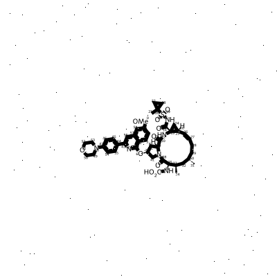 COc1ccc2c(O[C@@H]3C[C@H]4C(=O)N[C@]5(C(=O)NS(=O)(=O)C6(C)CC6)C[C@H]5C=CCC[C@H](C)C[C@@H](C)[C@H](NC(=O)O)C(=O)N4C3)nc(-c3ccc(N4CCOCC4)cc3)cc2c1